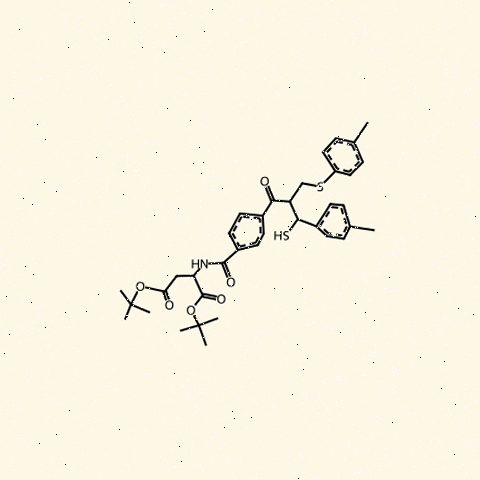 Cc1ccc(SCC(C(=O)c2ccc(C(=O)NC(CC(=O)OC(C)(C)C)C(=O)OC(C)(C)C)cc2)C(S)c2ccc(C)cc2)cc1